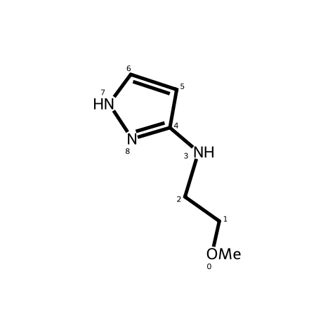 COCCNc1cc[nH]n1